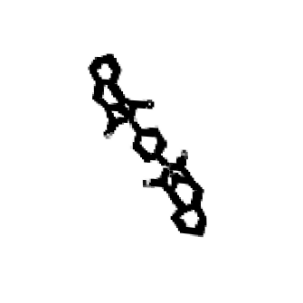 O=C1C2=c3ccccc3=CC(C(=O)N1c1ccc(N3C(=O)C4=c5ccccc5=CC(C3=O)C4=S)cc1)C2=S